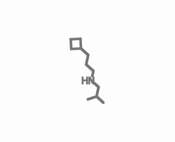 CC(C)CNCCCC1CCC1